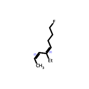 C/C=C\C(=C/CCCF)CC